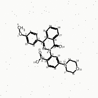 COc1ccc(-c2nn(-c3cc(N4CCOCC4)ccc3[N+](=O)[O-])c(=O)c3ccccc23)cc1